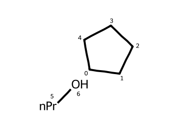 C1CCCC1.CCCO